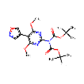 COc1nc(N(C(=O)OC(C)(C)C)C(=O)OC(C)(C)C)nc(OC)c1-c1cnoc1